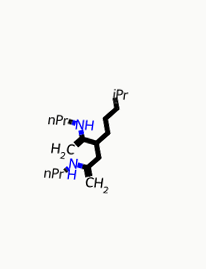 C=C(CC(CCCC(C)C)C(=C)NCCC)NCCC